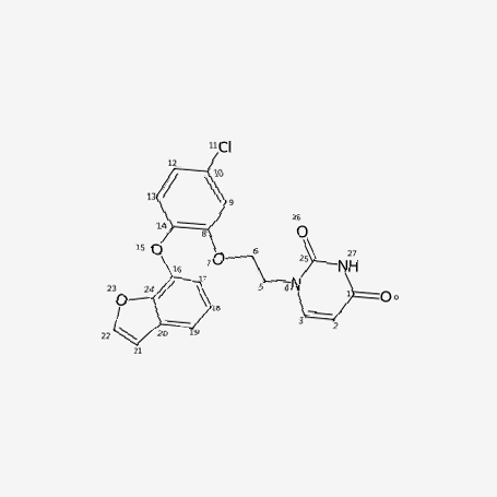 O=c1ccn(CCOc2cc(Cl)ccc2Oc2cccc3ccoc23)c(=O)[nH]1